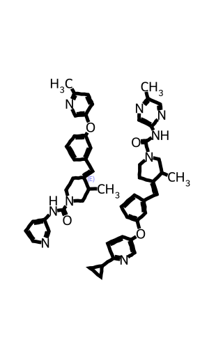 Cc1ccc(Oc2cccc(/C=C3\CCN(C(=O)Nc4cccnc4)CC3C)c2)cn1.Cc1cnc(NC(=O)N2CCC(=Cc3cccc(Oc4ccc(C5CC5)nc4)c3)C(C)C2)cn1